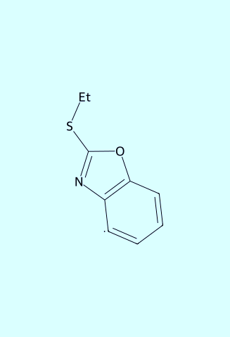 CCSc1nc2[c]cccc2o1